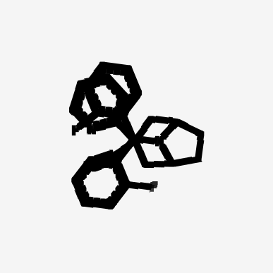 N#CC1(c2ccccn2)CC2CCC(C1)N2C(c1ccccc1F)c1ccccc1F